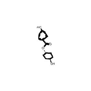 O=C(O[C@H]1CC[C@H](O)CC1)c1ccc(O)cc1